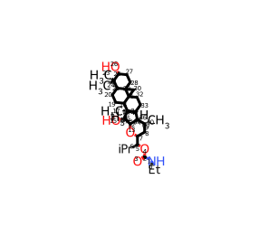 CCNC(=O)OC(C(C)C)C1C[C@@H](C)[C@H]2C(O1)[C@H](O)[C@@]1(C)C3CCC4C(C)(C)C(O)CCC45CC35CCC21C